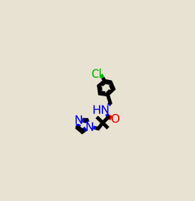 CC(C)(Cn1ccnc1)C(=O)NCc1ccc(Cl)cc1